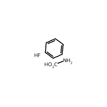 F.NC(=O)O.c1ccccc1